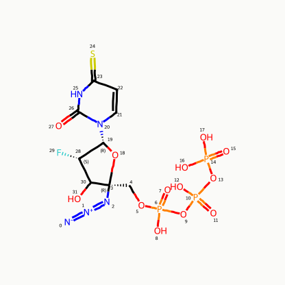 [N-]=[N+]=N[C@]1(COP(=O)(O)OP(=O)(O)OP(=O)(O)O)O[C@@H](n2ccc(=S)[nH]c2=O)[C@@H](F)C1O